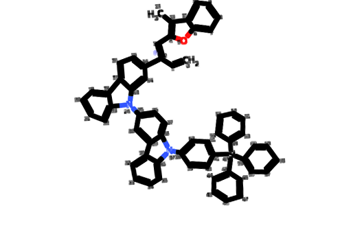 C=C/C(=C\c1oc2ccccc2c1C)c1ccc2c3ccccc3n(-c3ccc4c(c3)c3ccccc3n4-c3ccc([Si](c4ccccc4)(c4ccccc4)c4ccccc4)cc3)c2c1